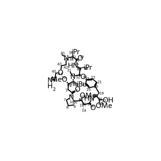 CC[C@H](C)[C@@H]([C@@H](CC(=O)N1CCC[C@H]1[C@H](OC)[C@@H](C)C(=O)N[C@@H](Cc1ccccc1)C(O)OC)OC)N(C)C(=O)[C@@H](NC(=O)[C@H](C(C)C)N(C)CCOCCN)C(C)C